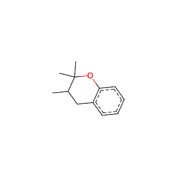 CC1Cc2ccccc2OC1(C)C